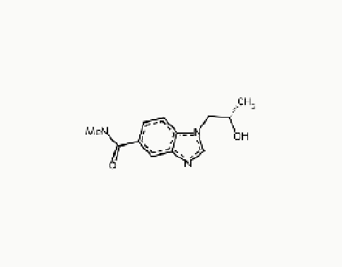 CNC(=O)c1ccc2c(c1)ncn2C[C@H](C)O